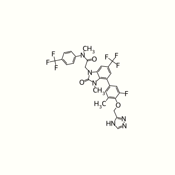 Cc1cc(-c2cc(C(F)(F)F)cc3c2n(C)c(=O)n3CC(=O)N(C)c2ccc(C(F)(F)F)cc2)cc(F)c1OCc1nnc[nH]1